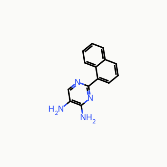 Nc1cnc(-c2cccc3ccccc23)nc1N